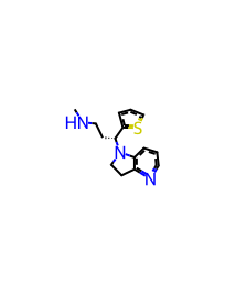 CNCC[C@H](c1cccs1)N1CCc2ncccc21